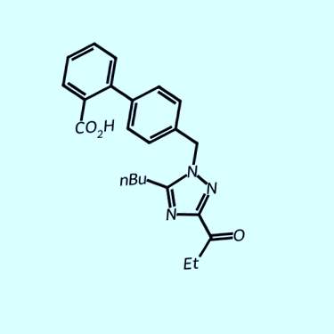 CCCCc1nc(C(=O)CC)nn1Cc1ccc(-c2ccccc2C(=O)O)cc1